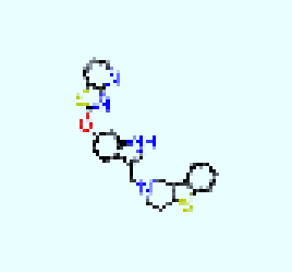 c1cnc2nc(Oc3ccc4c(CN5CCc6sc7ccccc7c6C5)c[nH]c4c3)sc2c1